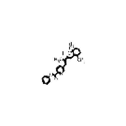 CC(C=CC1=C(C)CCCC1(C)C)=Cc1ccc(C(=O)Oc2ccccc2)nc1